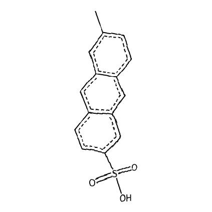 Cc1ccc2cc3cc(S(=O)(=O)O)ccc3cc2c1